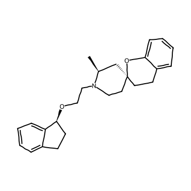 C[C@H]1C[C@]2(CCc3ccccc3O2)CCN1CCO[C@H]1CCc2ccccc21